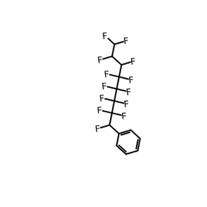 FC(F)C(F)C(F)C(F)(F)C(F)(F)C(F)(F)C(F)(F)C(F)c1ccccc1